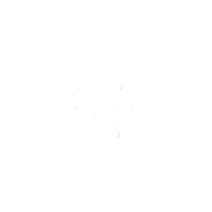 [2H]C1O[C@H]2OCC[C@H]2C1=O